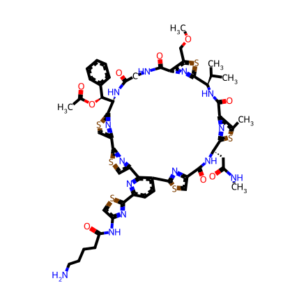 CNC(=O)C[C@@H]1NC(=O)c2csc(n2)-c2ccc(-c3nc(NC(=O)CCCCN)cs3)nc2-c2csc(n2)-c2csc(n2)[C@H]([C@@H](OC(C)=O)c2ccccc2)NC(=O)CNC(=O)c2nc(sc2COC)[C@@H](C(C)C)NC(=O)c2nc1sc2C